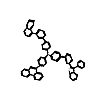 c1ccc(-c2c(-c3cccc(-c4ccc(N(c5ccc(-c6cccc(-c7cccc8ccccc78)c6)cc5)c5ccc(-c6cc7ccccc7c7ccccc67)cc5)cc4)c3)oc3ccccc23)cc1